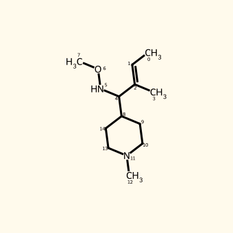 C/C=C(\C)C(NOC)C1CCN(C)CC1